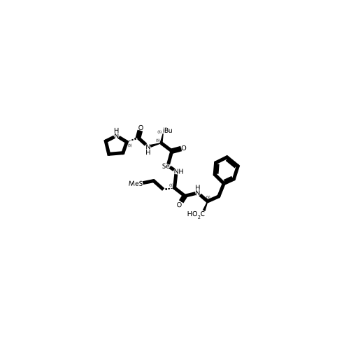 CC[C@H](C)[C@H](NC(=O)[C@@H]1CCCN1)C(=O)[Se]N[C@@H](CCSC)C(=O)N[C@@H](Cc1ccccc1)C(=O)O